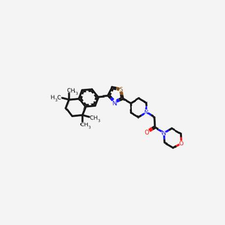 CC1(C)CCC(C)(C)c2cc(-c3csc(C4CCN(CC(=O)N5CCOCC5)CC4)n3)ccc21